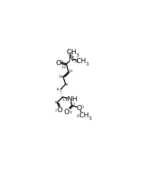 COC(=O)N[C@H](C=O)CC/C=C/C(=O)N(C)C